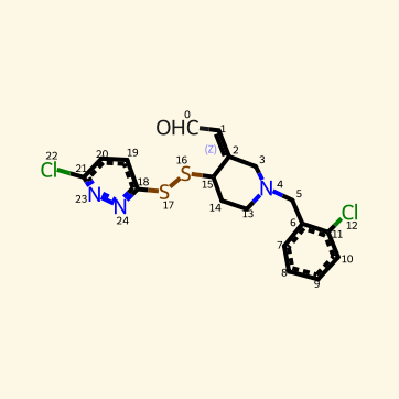 O=C/C=C1/CN(Cc2ccccc2Cl)CCC1SSc1ccc(Cl)nn1